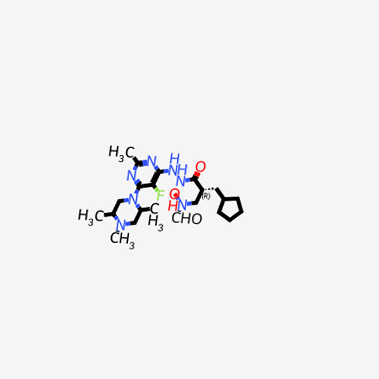 Cc1nc(NNC(=O)[C@H](CC2CCCC2)CN(O)C=O)c(F)c(N2CC(C)N(C)CC2C)n1